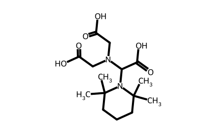 CC1(C)CCCC(C)(C)N1C(C(=O)O)N(CC(=O)O)CC(=O)O